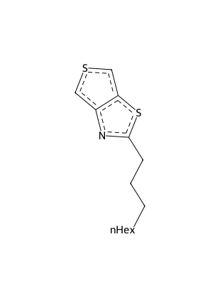 CCCCCCCCCc1nc2cscc2s1